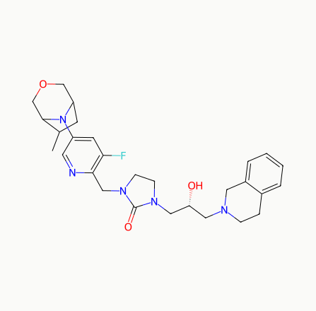 CC1CC2COCC1N2c1cnc(CN2CCN(C[C@H](O)CN3CCc4ccccc4C3)C2=O)c(F)c1